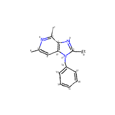 CCc1nc2c(C)nc(C)cc2n1-c1cc[c]cc1